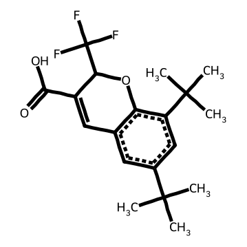 CC(C)(C)c1cc2c(c(C(C)(C)C)c1)OC(C(F)(F)F)C(C(=O)O)=C2